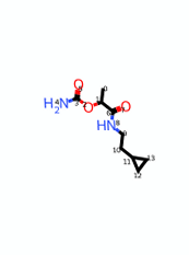 CC(OC(N)=O)C(=O)NCCC1CC1